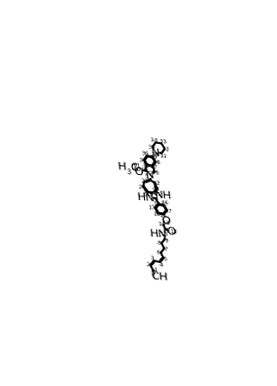 C#C/C=C\C=C/CCCCNC(=O)COc1ccc(C2NC3=CC=C(N4Cc5cc(N6CCCCC6)ccc5C4OC)C=C(C3)N2)cc1